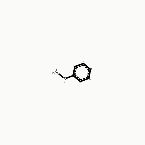 [CH2]CCSc1ccccc1